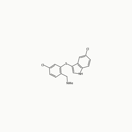 CNCc1ccc(Cl)cc1Sc1c[nH]c2ccc(Cl)cc12